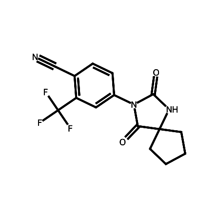 N#Cc1ccc(N2C(=O)NC3(CCCC3)C2=O)cc1C(F)(F)F